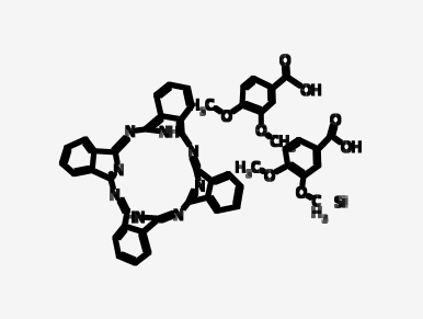 COc1ccc(C(=O)O)cc1OC.COc1ccc(C(=O)O)cc1OC.[Si].c1ccc2c(c1)-c1nc-2nc2[nH]c(nc3nc(nc4[nH]c(n1)c1ccccc41)-c1ccccc1-3)c1ccccc21